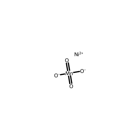 [Ni+2].[O]=[Mn](=[O])([O-])[O-]